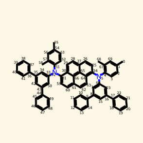 Cc1ccc(N(c2cc(-c3ccccc3)cc(-c3ccccc3)c2)c2ccc3ccc4c(N(c5cc(-c6ccccc6)cc(-c6ccccc6)c5)c5ccc(C)cc5C)ccc5ccc2c3c54)c(C)c1